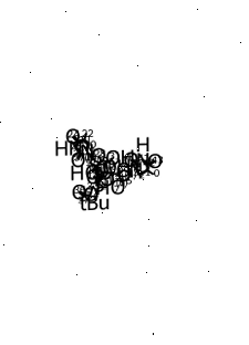 Cc1cn([C@H]2C[C@H](O)[C@@H](C(O)OP(=O)(O[C@]3(O)C[C@H](n4cc(C)c(=O)[nH]c4=O)O[C@@H]3CO)SCOC(=O)C(C)(C)C)O2)c(=O)[nH]c1=O